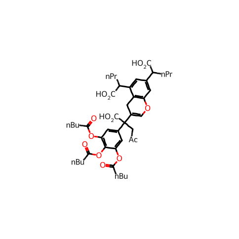 CCCCC(=O)Oc1cc(C(CC(C)=O)(C(=O)O)C2=COc3cc(C(CCC)C(=O)O)cc(C(CCC)C(=O)O)c3C2)cc(OC(=O)CCCC)c1OC(=O)CCCC